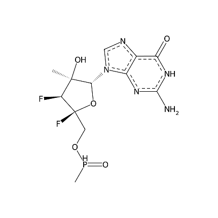 C[PH](=O)OC[C@@]1(F)O[C@@H](n2cnc3c(=O)[nH]c(N)nc32)[C@](C)(O)[C@@H]1F